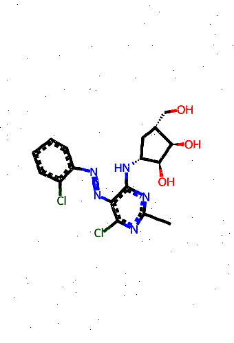 Cc1nc(Cl)c(/N=N/c2ccccc2Cl)c(N[C@@H]2C[C@H](CO)[C@@H](O)[C@H]2O)n1